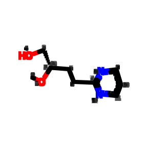 CO[C@H](CO)CCc1ncccn1